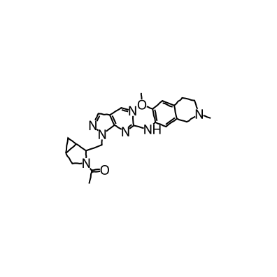 COc1cc2c(cc1Nc1ncc3cnn(CC4C5CC5CN4C(C)=O)c3n1)CN(C)CC2